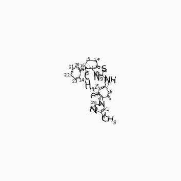 Cc1cn(-c2ccc(Nc3nc4c(s3)CCCC4(C)c3ccccc3)cc2F)cn1